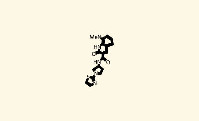 CNc1cccc2cc(C(=O)NC3CCN(c4nccs4)C3)c(=O)[nH]c12